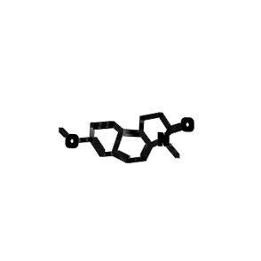 COc1ccc2c3c(ccc2c1)N(C)C(=O)CC3